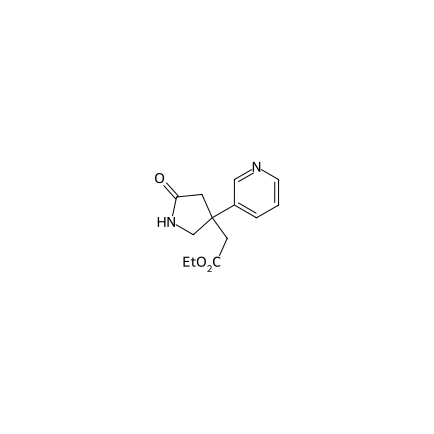 CCOC(=O)CC1(c2cccnc2)CNC(=O)C1